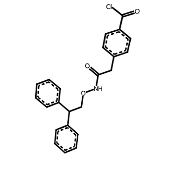 O=C(Cc1ccc(C(=O)Cl)cc1)NOCC(c1ccccc1)c1ccccc1